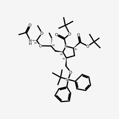 CC[C@H](C[C@@H]1[C@H](CO[Si](c2ccccc2)(c2ccccc2)C(C)(C)C)C[C@H](C(=O)OC(C)(C)C)N1C(=O)OC(C)(C)C)O[C@H](NC(C)=O)OC